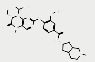 CC[C@@H]1C(=O)N(C)c2cnc(Nc3ccc(C(=O)N[C@@H]4C[C@@H]5CCN(C)C[C@@H]5C4)cc3OC)nc2N1C(C)C